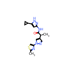 Cc1nc(-n2cc([C@H](C)C(=O)Nc3cc(C4CC4)[nH]n3)cn2)cs1